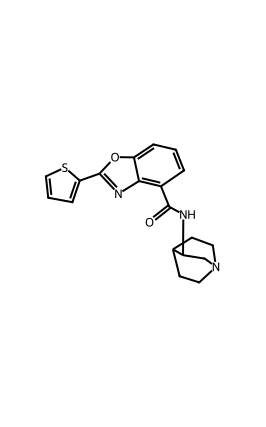 O=C(NC1CN2CCC1CC2)c1cccc2oc(-c3cccs3)nc12